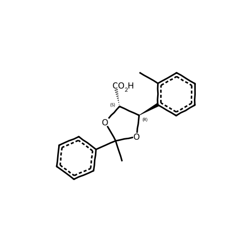 Cc1ccccc1[C@H]1OC(C)(c2ccccc2)O[C@@H]1C(=O)O